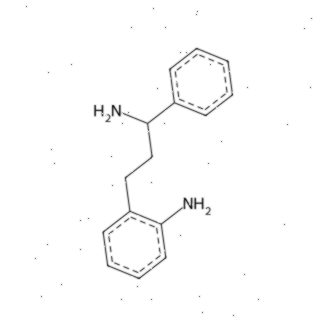 Nc1ccccc1CCC(N)c1ccccc1